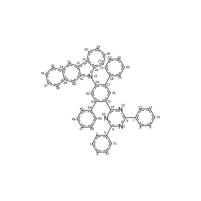 c1ccc(-c2nc(-c3ccccc3)nc(-c3cc(-c4ccccc4)c(-n4c5ccccc5c5cc6ccccc6cc54)cc3-c3ccccc3)n2)cc1